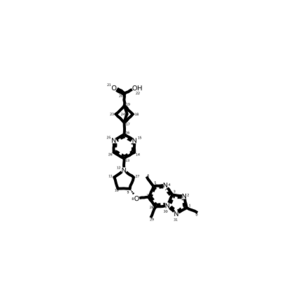 Cc1nc2nc(C)c(O[C@@H]3CCN(c4cnc(C56CC(C(=O)O)(C5)C6)nc4)C3)c(C)n2n1